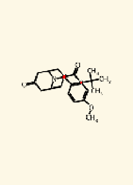 COc1ccc(CN2C3CC(=O)CC2CN(C(=O)OC(C)(C)C)C3)cc1